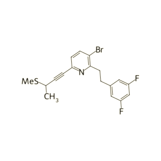 CSC(C)C#Cc1ccc(Br)c(CCc2cc(F)cc(F)c2)n1